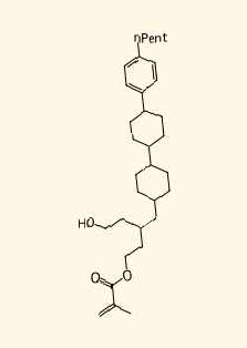 C=C(C)C(=O)OCCC(CCO)CC1CCC(C2CCC(c3ccc(CCCCC)cc3)CC2)CC1